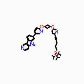 CC(C)[Si](OCCCC#Cc1ccc(OC2CC(Oc3ccc(-c4ccc5c6cnccc6n(C)c5c4)cn3)C2)cn1)(C(C)C)C(C)C